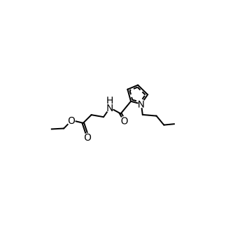 CCCCn1cccc1C(=O)NCCC(=O)OCC